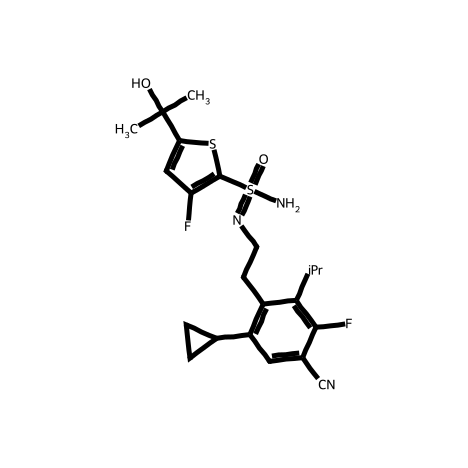 CC(C)c1c(F)c(C#N)cc(C2CC2)c1CCN=S(N)(=O)c1sc(C(C)(C)O)cc1F